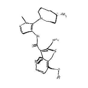 CC(C)Oc1ccnc2c(C(=O)Nc3cnn(C)c3N3CCC[C@H](N)CC3)c(N)sc12